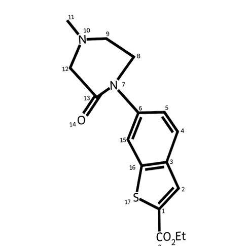 CCOC(=O)c1cc2ccc(N3CCN(C)CC3=O)cc2s1